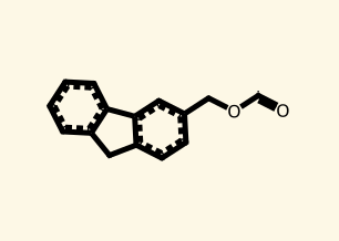 O=[C]OCc1ccc2c(c1)-c1ccccc1C2